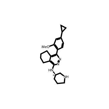 COc1cc(C2CC2)ccc1-c1nnc(N[C@@H]2CCCNC2)c2c1CCCC2